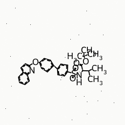 CC(C)C(NS(=O)(=O)c1ccc(-c2ccc(Oc3ccc4ccccc4n3)cc2)cc1)C(=O)OC(C)(C)C